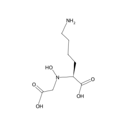 NCCCC[C@@H](C(=O)O)N(O)CC(=O)O